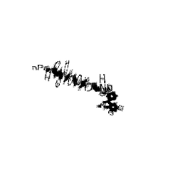 CCCNC(=O)CCC(=O)NCCOCCOCCOCCNS(=O)(=O)c1cccc(C2CN(C)Cc3c(Cl)cc(Cl)cc32)c1